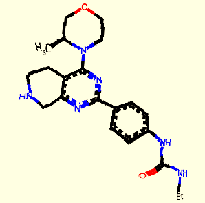 CCNC(=O)Nc1ccc(-c2nc3c(c(N4CCOCC4C)n2)CCNC3)cc1